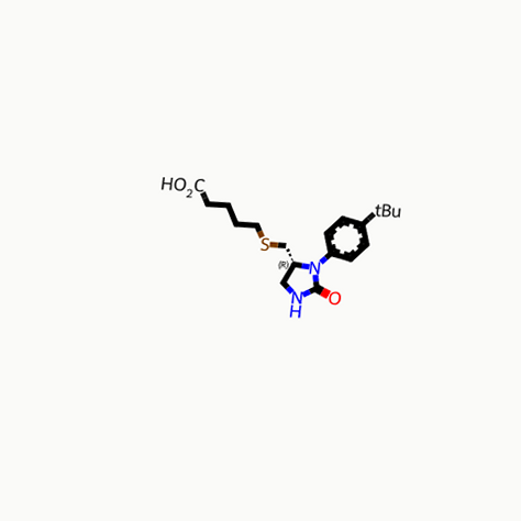 CC(C)(C)c1ccc(N2C(=O)NC[C@@H]2CSCCCCC(=O)O)cc1